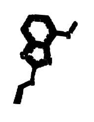 C=CSc1nc2c(SC)cccc2o1